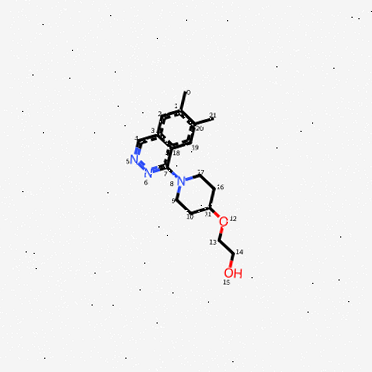 Cc1cc2cnnc(N3CCC(OCCO)CC3)c2cc1C